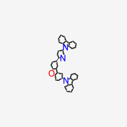 c1ccc2c(c1)c1ccccc1n2-c1ccc(-c2ccc3oc4ccc(-n5c6ccccc6c6ccccc65)cc4c3c2)nc1